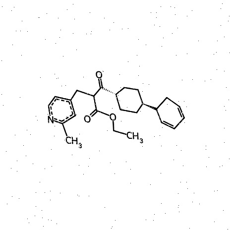 CCOC(=O)C(Cc1ccnc(C)c1)C(=O)[C@H]1CC[C@H](C2C=CC=CC2)CC1